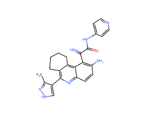 N=C(C(=O)Nc1ccncc1)c1c(N)ccc2nc(-c3c[nH]nc3C(F)(F)F)c3c(c12)CCCC3